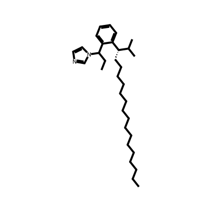 CCCCCCCCCCCCCCCC[C@H](c1ccccc1C(CC)n1ccnc1)C(C)C